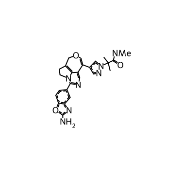 CNC(=O)C(C)(C)n1cc(C2=COCC3=C4C2=CN=C(c2ccc5oc(N)nc5c2)N4CC3)cn1